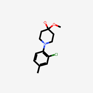 COC1([O])CCN(c2ccc(C)cc2Cl)CC1